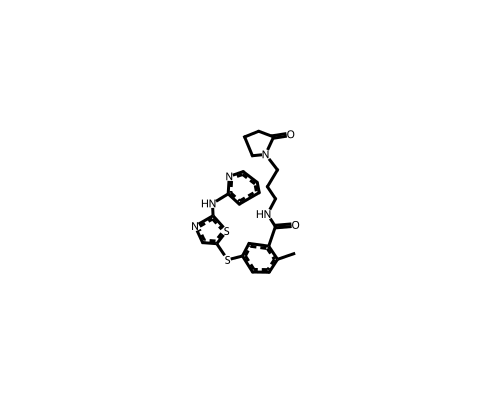 Cc1ccc(Sc2cnc(Nc3ccccn3)s2)cc1C(=O)NCCCN1CCCC1=O